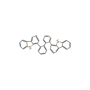 c1ccc(-c2cccc3c2sc2ccccc23)c(-c2ccccc2-c2cccc3c2sc2ccccc23)c1